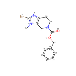 Cn1c(Br)nc2c1CN(C(=O)OCc1ccccc1)CC2